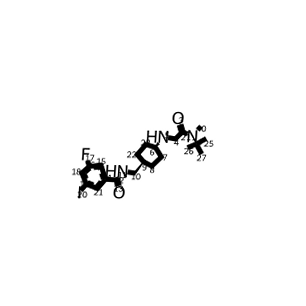 CN(C(=O)CN[C@H]1CC[C@@H](CNC(=O)c2cc(F)cc(I)c2)CC1)C(C)(C)C